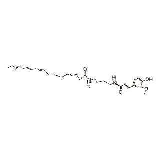 CCC=CCC=CCC=CCCCCCCCC(=O)NCCCCNC(=O)C=Cc1ccc(O)c(OC)c1